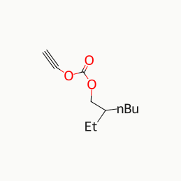 C#COC(=O)OCC(CC)CCCC